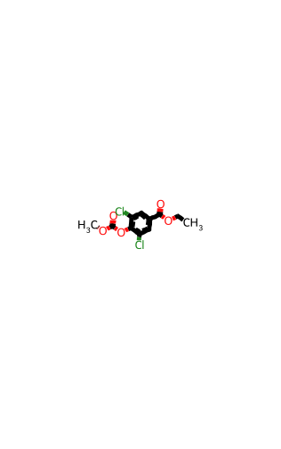 CCOC(=O)c1cc(Cl)c(OC(=O)OC)c(Cl)c1